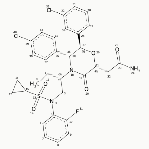 CC[C@@H](CN(c1ccccc1F)S(=O)(=O)C1CC1)N1C(=O)[C@@H](CC(N)=O)O[C@H](c2cccc(Cl)c2)[C@H]1c1ccc(Cl)cc1